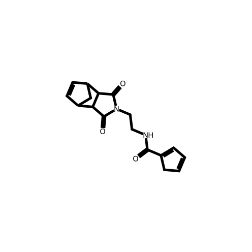 O=C(NCCN1C(=O)C2C3C=CC(C3)C2C1=O)C1=CC=CC1